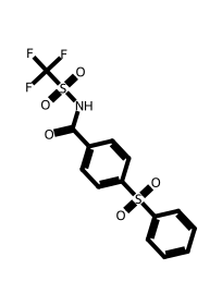 O=C(NS(=O)(=O)C(F)(F)F)c1ccc(S(=O)(=O)c2ccccc2)cc1